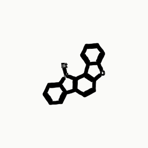 CCn1c2ccccc2c2ccc3oc4ccccc4c3c21